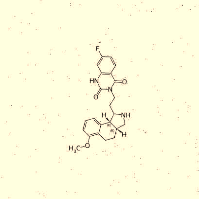 COc1cccc2c1CC[C@H]1CNC(CCn3c(=O)[nH]c4cc(F)ccc4c3=O)[C@@H]21